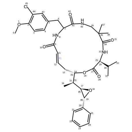 COc1ccc(CC2NC(=O)/C=C/C[C@@H]([C@H](C)[C@H]3O[C@@H]3c3ccccc3)OC(=O)[C@H](C(C)C)NC(=O)C(C)(C)CNC2=O)cc1Cl